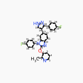 Cc1ncccc1Oc1nc2ccc(-c3c[nH]nc3-c3ccc(F)cc3)cc2n1-c1ccc(F)cc1